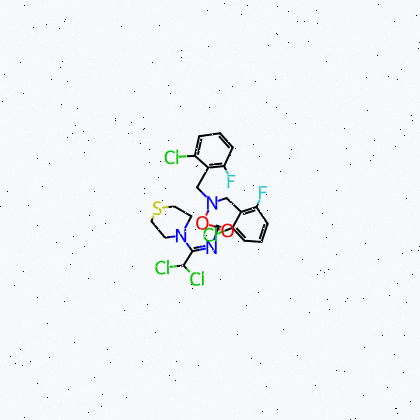 O=C(/N=C(/C(Cl)Cl)N1CCSCC1)ON(Cc1c(F)cccc1Cl)Cc1c(F)cccc1Cl